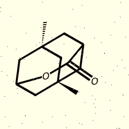 C[C@]12CC3C[C@@](C)(CC(C1)C(=O)O3)C2